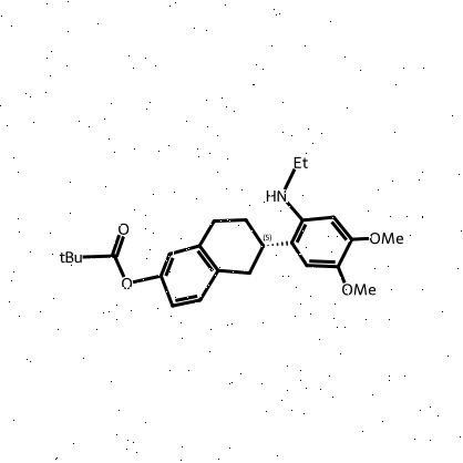 CCNc1cc(OC)c(OC)cc1[C@H]1CCc2cc(OC(=O)C(C)(C)C)ccc2C1